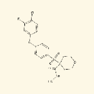 O=C(NO)C1(S(=O)(=O)c2ccc(Oc3ccc(Cl)c(F)c3)cc2)CCOCC1